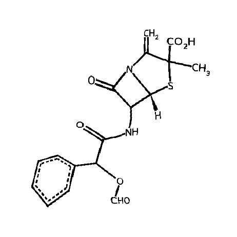 C=C1N2C(=O)C(NC(=O)C(OC=O)c3ccccc3)[C@H]2SC1(C)C(=O)O